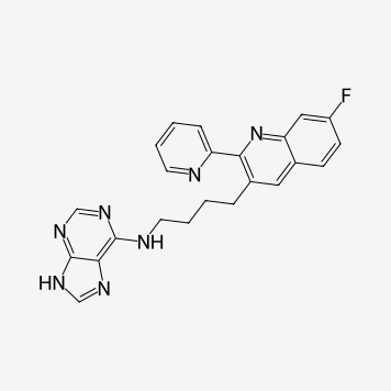 Fc1ccc2cc(CCCCNc3ncnc4[nH]cnc34)c(-c3ccccn3)nc2c1